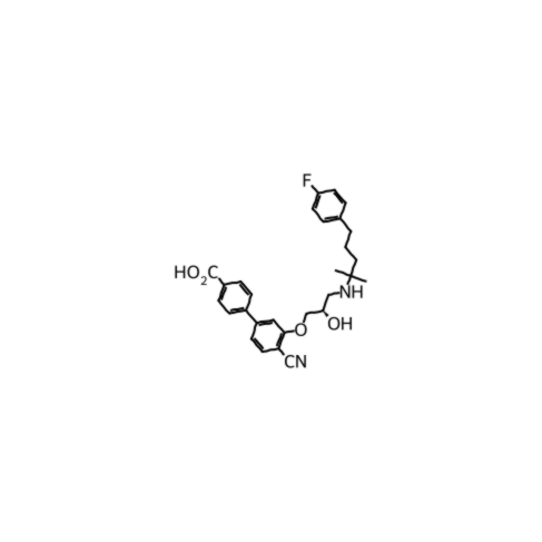 CC(C)(CCCc1ccc(F)cc1)NC[C@@H](O)COc1cc(-c2ccc(C(=O)O)cc2)ccc1C#N